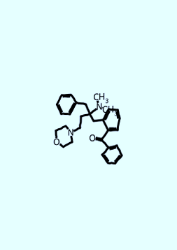 CN(C)C(CCN1CCOCC1)(Cc1ccccc1)Cc1ccccc1C(=O)c1ccccc1